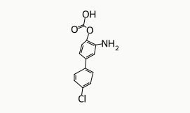 Nc1cc(-c2ccc(Cl)cc2)ccc1OC(=O)O